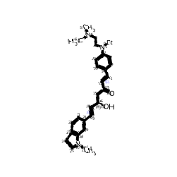 CCN(CCN(C)C)c1ccc(/C=C/C(=O)C[C@@H](O)/C=C/c2ccc3ccn(C)c3c2)cc1